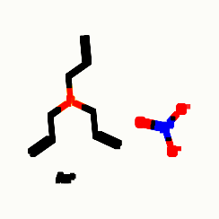 C=CCP(CC=C)CC=C.O=[N+]([O-])[O-].[Au+]